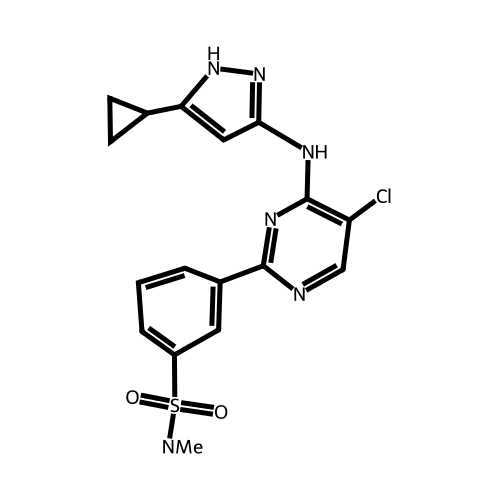 CNS(=O)(=O)c1cccc(-c2ncc(Cl)c(Nc3cc(C4CC4)[nH]n3)n2)c1